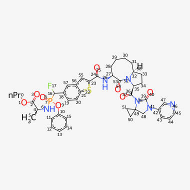 CCCOC(=O)[C@H](C)NP(=O)(Oc1ccccc1)C(F)c1ccc2sc(C(=O)N[C@H]3CCCC[C@H]4CC[C@@H](C(=O)N5C(=O)N(c6cccnc6)CC56CC6)N4C3=O)cc2c1